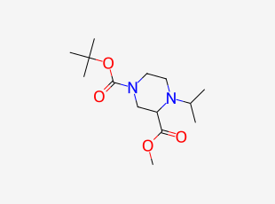 COC(=O)C1CN(C(=O)OC(C)(C)C)CCN1C(C)C